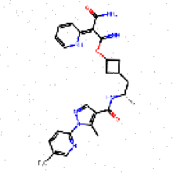 Cc1c(C(=O)N[C@@H](C)CC2CC(OC(=N)/C(C(N)=O)=C3/C=CC=CN3)C2)cnn1-c1ccc(C(F)(F)F)cn1